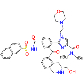 CCCCN(CCCC)C(=O)c1cn(CCN2CCOCC2)c(-c2ccc(C(=O)NS(=O)(=O)c3ccc4ccccc4c3)cc2C(=O)c2cccc3c2CC(CO)NC3)n1